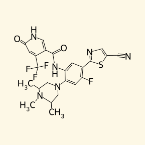 CC1CN(c2cc(F)c(-c3ncc(C#N)s3)cc2NC(=O)c2c[nH]c(=O)cc2C(F)(F)F)CC(C)N1C